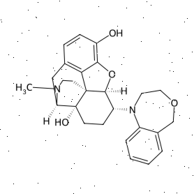 CN1CC[C@]23c4c5ccc(O)c4O[C@H]2[C@H](N2CCOCc4ccccc42)CC[C@@]3(O)[C@H]1C5